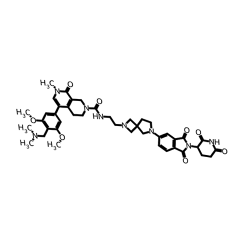 COc1cc(-c2cn(C)c(=O)c3c2CCN(C(=O)NCCN2CC4(CCN(c5ccc6c(c5)C(=O)N(C5CCC(=O)NC5=O)C6=O)C4)C2)C3)cc(OC)c1CN(C)C